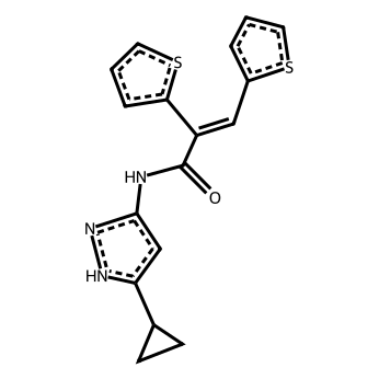 O=C(Nc1cc(C2CC2)[nH]n1)/C(=C/c1cccs1)c1cccs1